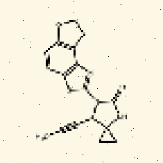 CC#CC1N(c2nc3c4c(ccc3s2)OCC4)C(=O)NC12CC2